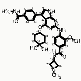 CNC(=O)c1ccc(-c2c[nH]c3nc(Nc4ccc(C(=O)NC5CN(C)C5)cc4OC)nc(O[C@H]4CC[C@@](C)(O)CC4)c23)cc1